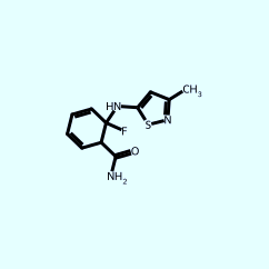 Cc1cc(NC2(F)C=CC=CC2C(N)=O)sn1